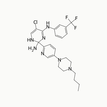 CCCCN1CCN(c2ccc(C3(N)N=C(Nc4cccc(C(F)(F)F)c4)C(Cl)=CN3)nc2)CC1